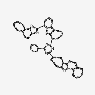 c1ccc(-c2nc(-c3ccc4oc5c6ccccc6ccc5c4c3)nc(-c3cccc4c3sc3c(-c5nc6ccc7ccccc7c6o5)cccc34)n2)cc1